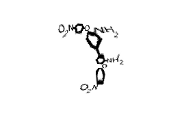 Nc1cc(-c2ccc(Oc3ccc([N+](=O)[O-])cc3)c(N)c2)ccc1Oc1ccc([N+](=O)[O-])cc1